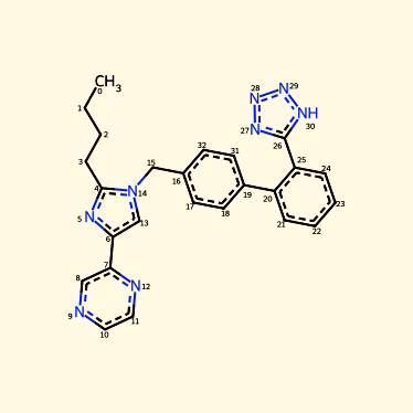 CCCCc1nc(-c2cnccn2)cn1Cc1ccc(-c2ccccc2-c2nnn[nH]2)cc1